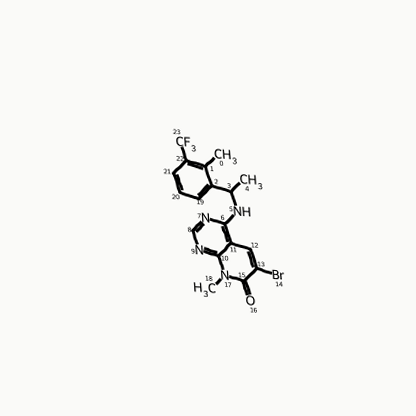 Cc1c(C(C)Nc2ncnc3c2cc(Br)c(=O)n3C)cccc1C(F)(F)F